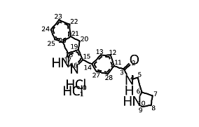 Cl.Cl.O=C(NCC1CCCN1)c1ccc(-c2n[nH]c3c2Cc2ccccc2-3)cc1